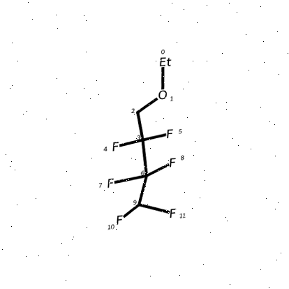 CCOCC(F)(F)C(F)(F)C(F)F